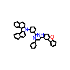 C1=C(c2ccccc2)N=C(c2cccc(-n3c4ccc5ccccc5c4c4c5ccccc5ccc43)c2)NC1c1ccc2oc3ccccc3c2c1